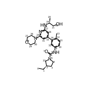 CC[C@@H]1CCN(C(=O)Nc2ccc(C)c(-c3cc(N[C@@H](C)CO)nc(N4CCOCC4)c3)c2)C1